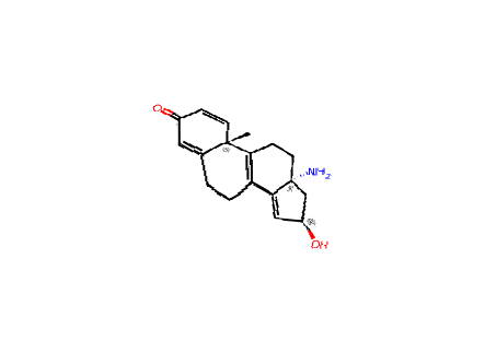 C[C@]12C=CC(=O)C=C1CCC1=C2CC[C@@]2(N)C[C@@H](O)C=C12